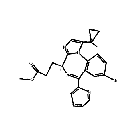 COC(=O)CC[C@@H]1N=C(c2ccccn2)c2cc(Br)ccc2-n2c(C3(C)CC3)cnc21